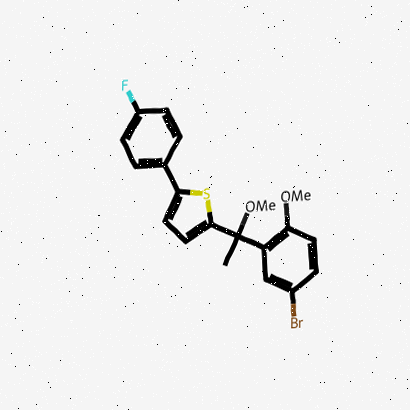 COc1ccc(Br)cc1C(C)(OC)c1ccc(-c2ccc(F)cc2)s1